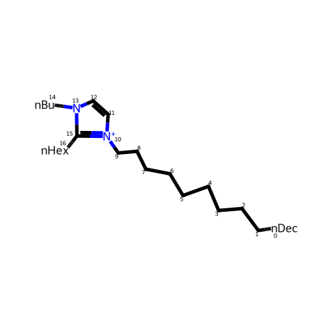 CCCCCCCCCCCCCCCCCCC[n+]1ccn(CCCC)c1CCCCCC